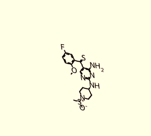 COc1ccc(F)cc1C(=S)c1cnc(NC2CCN([S+](C)[O-])CC2)nc1N